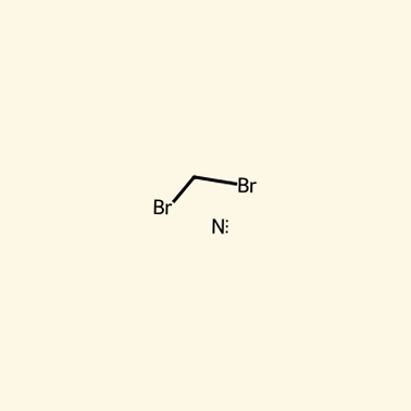 BrCBr.[N]